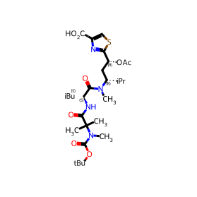 CC[C@H](C)[C@H](NC(=O)C(C)(C)N(C)C(=O)OC(C)(C)C)C(=O)N(C)[C@H](C[C@@H](OC(C)=O)c1nc(C(=O)O)cs1)C(C)C